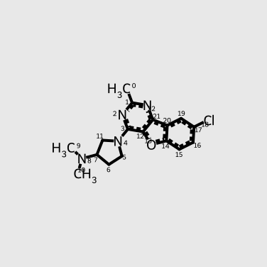 Cc1nc(N2CCC(N(C)C)C2)c2oc3ccc(Cl)cc3c2n1